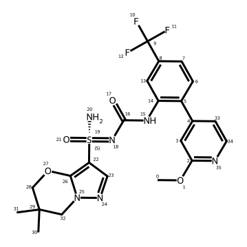 COc1cc(-c2ccc(C(F)(F)F)cc2NC(=O)N=[S@](N)(=O)c2cnn3c2OCC(C)(C)C3)ccn1